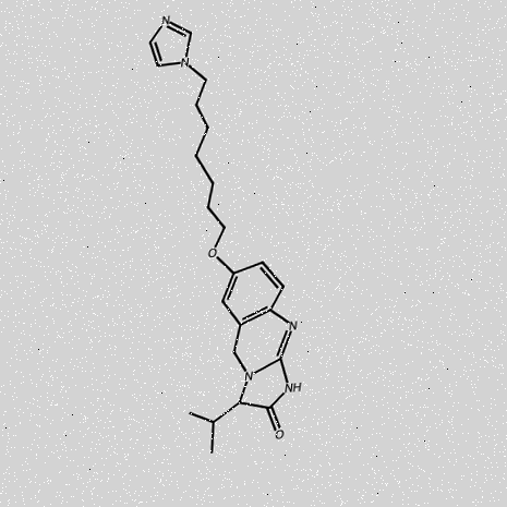 CC(C)C1C(=O)NC2=Nc3ccc(OCCCCCCCn4ccnc4)cc3CN21